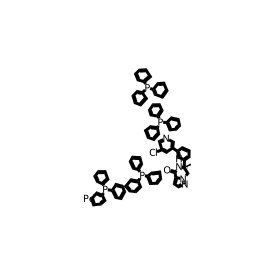 C[C@@]1(c2cccc(-c3cncc(Cl)c3)c2)Cn2nccc2C(=O)N1.[Pd].c1ccc(P(c2ccccc2)c2ccccc2)cc1.c1ccc(P(c2ccccc2)c2ccccc2)cc1.c1ccc(P(c2ccccc2)c2ccccc2)cc1.c1ccc(P(c2ccccc2)c2ccccc2)cc1